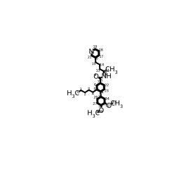 CCCCCc1cc(C(=O)N[C@H](C)CCCc2cccnc2)ccc1-c1ccc(OC)c(OC)c1